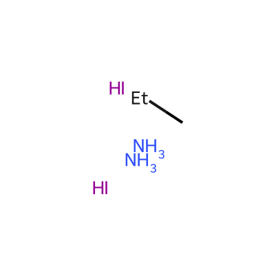 CCC.I.I.N.N